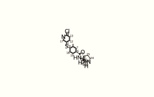 C[C@H]1[C@H](NC(=O)c2ccc(Sc3ccc(Cl)nc3)cc2)C2CCN1CC2